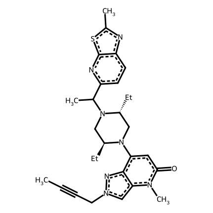 CC#CCn1cc2c(n1)c(N1C[C@@H](CC)N(C(C)c3ccc4nc(C)sc4n3)C[C@@H]1CC)cc(=O)n2C